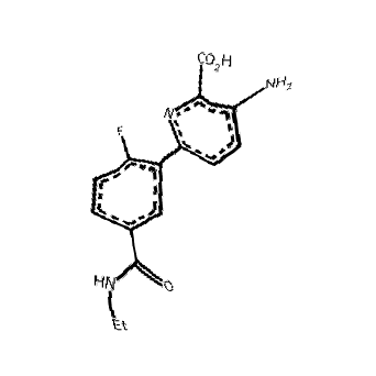 CCNC(=O)c1ccc(F)c(-c2ccc(N)c(C(=O)O)n2)c1